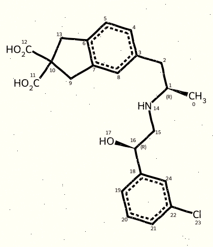 C[C@H](Cc1ccc2c(c1)CC(C(=O)O)(C(=O)O)C2)NC[C@H](O)c1cccc(Cl)c1